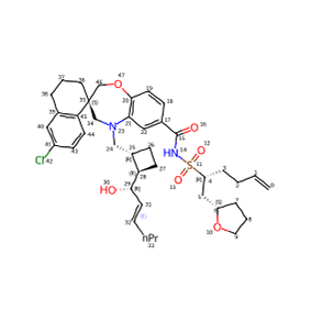 C=CCC[C@H](C[C@@H]1CCCO1)S(=O)(=O)NC(=O)c1ccc2c(c1)N(C[C@@H]1CC[C@H]1[C@@H](O)/C=C/CCC)C[C@@]1(CCCc3cc(Cl)ccc31)CO2